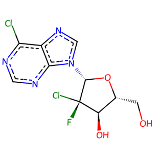 OC[C@H]1O[C@@H](n2cnc3c(Cl)ncnc32)[C@@](F)(Cl)[C@@H]1O